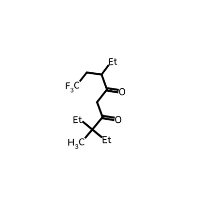 CCC(CC(F)(F)F)C(=O)CC(=O)C(C)(CC)CC